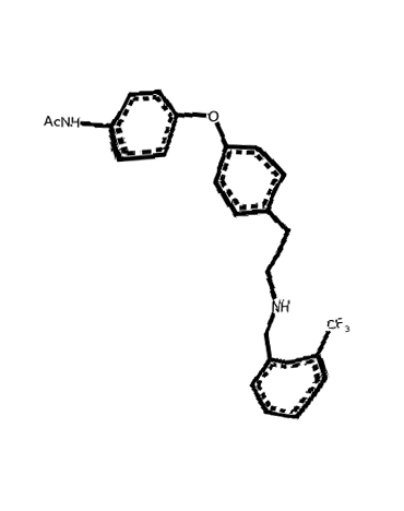 CC(=O)Nc1ccc(Oc2ccc(CCNCc3ccccc3C(F)(F)F)cc2)cc1